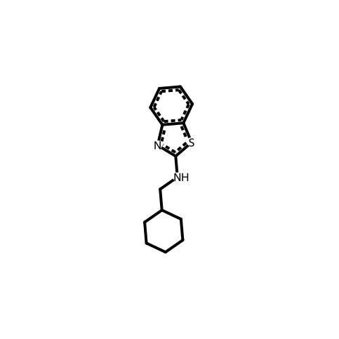 c1ccc2sc(NCC3CCCCC3)nc2c1